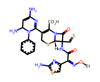 CCO/N=C(\C(=O)NC1(C=S)C(=O)N2C(C(=O)O)=C(C3=NC(N)=CC(N)N3c3ccccc3)CS[C@H]21)c1csc(N)n1